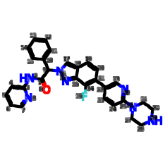 O=C(Nc1ccccn1)C(c1ccccc1)n1cc2ccc(-c3ccc(N4CCNCC4)nc3)c(F)c2n1